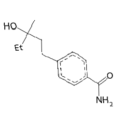 [CH2]CC(C)(O)CCc1ccc(C(N)=O)cc1